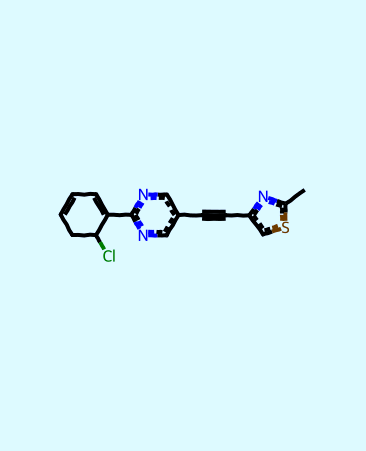 Cc1nc(C#Cc2cnc(C3=CC=CCC3Cl)nc2)cs1